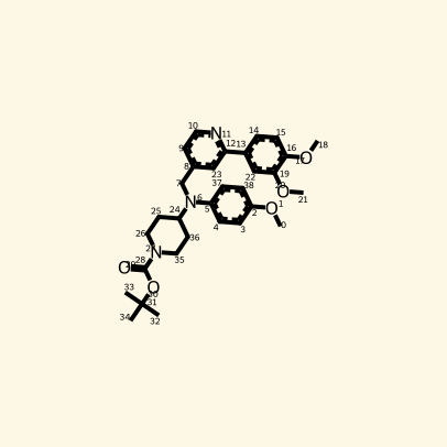 COc1ccc(N(Cc2ccnc(-c3ccc(OC)c(OC)c3)c2)C2CCN(C(=O)OC(C)(C)C)CC2)cc1